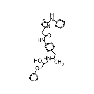 C[C@@H](Cc1ccc(NC(=O)Cc2csc(Nc3ccccc3)n2)cc1)NCC(O)COc1ccccc1